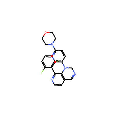 Fc1cccc(F)c1-c1nccc2c1N(c1ccc(N3CCOCC3)nc1)CN=C2